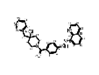 O=C(c1ccc(NSc2cccc3cccnc23)cc1)N1CCC(O)(Cc2cccnn2)CC1